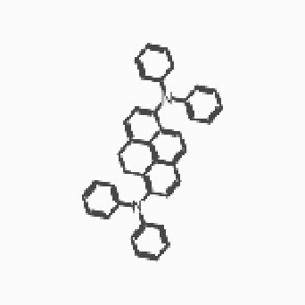 C1=CCC(N(c2ccccc2)c2ccc3c4c2ccc2ccc(N(c5ccccc5)c5ccccc5)c(c24)CC3)C=C1